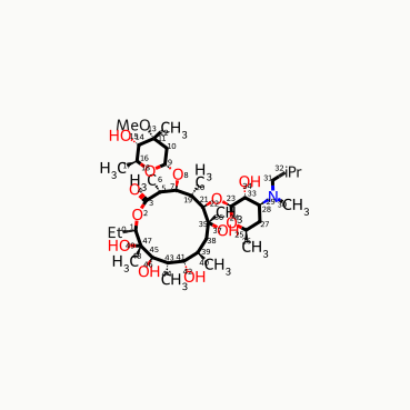 CC[C@H]1OC(=O)[C@H](C)[C@@H](O[C@H]2C[C@@](C)(OC)[C@@H](O)[C@H](C)O2)[C@H](C)[C@@H](O[C@@H]2O[C@H](C)C[C@H](N(C)CC(C)C)[C@H]2O)[C@](C)(O)C[C@@H](C)[C@H](O)[C@H](C)[C@@H](O)[C@]1(C)O